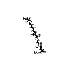 CSC(C)(C)CCC(=O)NCCOC(=O)NCCCCCCOP(C)(=O)O